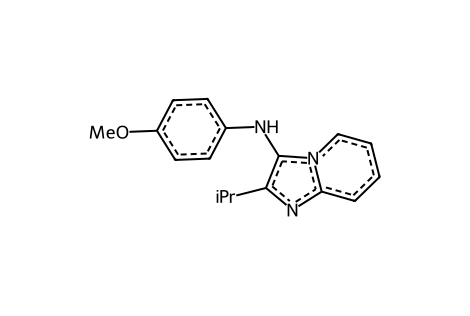 COc1ccc(Nc2c(C(C)C)nc3ccccn23)cc1